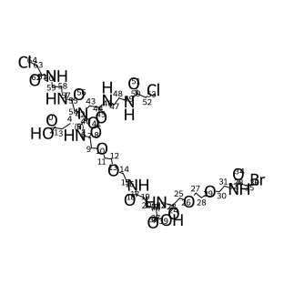 O=C(O)CC[C@@H](NC(=O)COCCOCCNC(=O)CC[C@@H](NC(=O)COCCOCCNC(=O)CBr)C(=O)O)C(=O)N(CC(=O)NCCNC(=O)CCl)CC(=O)NCCNC(=O)CCl